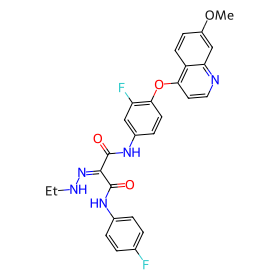 CCN/N=C(\C(=O)Nc1ccc(F)cc1)C(=O)Nc1ccc(Oc2ccnc3cc(OC)ccc23)c(F)c1